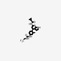 Cc1cc(NC(=O)NCC(F)(F)F)ccc1-c1cc(NC(=O)C2CC2)nc2[nH]ccc12